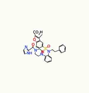 Cc1c(C(=O)O)oc2ccc(S(=O)(=O)N(CCc3ccccc3)c3ccccc3N3CCN(C(=O)c4ncc[nH]4)CC3)cc12